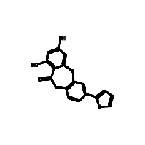 O=C1Cc2ccc(-c3ccco3)cc2Sc2cc(O)cc(O)c21